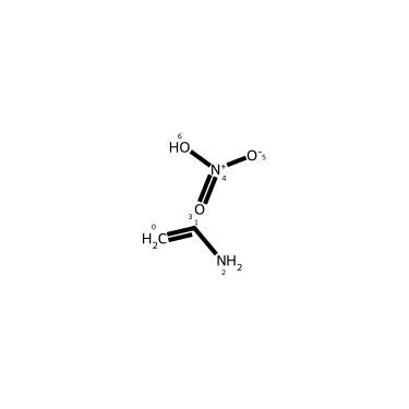 C=CN.O=[N+]([O-])O